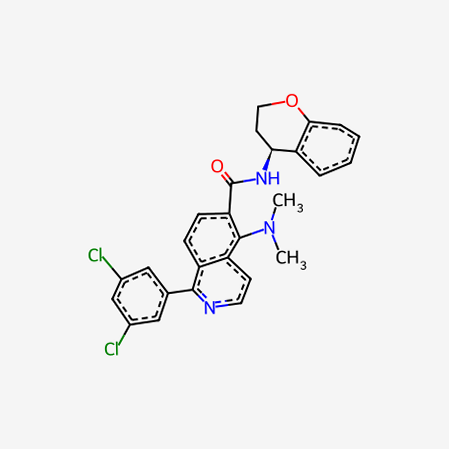 CN(C)c1c(C(=O)N[C@H]2CCOc3ccccc32)ccc2c(-c3cc(Cl)cc(Cl)c3)nccc12